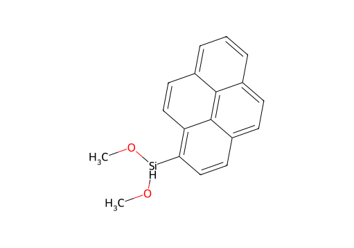 CO[SiH](OC)c1ccc2ccc3cccc4ccc1c2c34